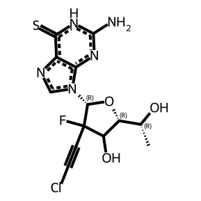 C[C@@H](O)[C@H]1O[C@@H](n2cnc3c(=S)[nH]c(N)nc32)C(F)(C#CCl)C1O